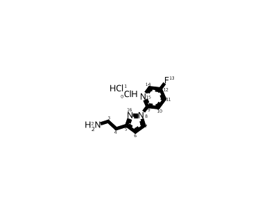 Cl.Cl.NCCc1ccn(-c2ccc(F)cn2)n1